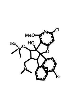 COc1nc(Cl)cc2c1C1(O)C(O[Si](C)(C)C(C)(C)C)C(CN(C)C)C(c3ccccc3)C1(c1ccc(Br)cc1)O2